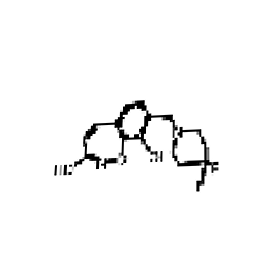 OC1=NOc2c(ccc(CN3CCC(F)(F)CC3)c2O)C=C1